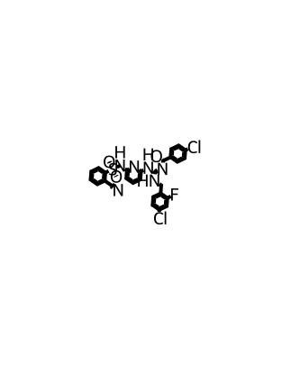 N#Cc1ccccc1S(=O)(=O)Nc1cccc(N/C(=N\C(=O)c2ccc(Cl)cc2)NCc2ccc(Cl)cc2F)n1